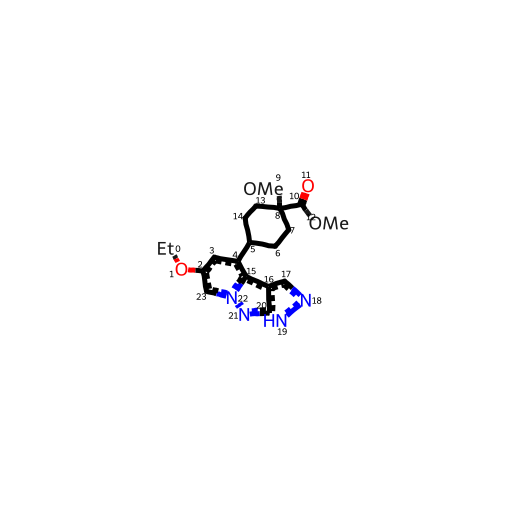 CCOc1cc(C2CCC(OC)(C(=O)OC)CC2)c2c3cn[nH]c3nn2c1